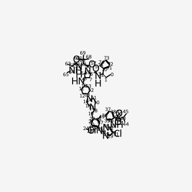 CC[C@@H](NC(=O)[C@@H]1C[C@H](NC2CCC(N3CCN(CCc4cc(OC)c(Nc5ncc(Cl)c(Nc6ccccc6S(=O)(=O)C(C)C)n5)cc4C)CC3)CC2)CN1C(=O)[C@@H](NC(=O)[C@H](C)NC)C(C)(C)C)c1ccccc1